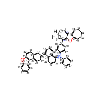 C/C=c1/c2c(o/c1=C(/C)c1ccc(N(c3ccccc3)c3cccc4c(-c5ccc6c(ccc7oc8ccccc8c76)c5)cccc34)cc1)=CCCCC=2